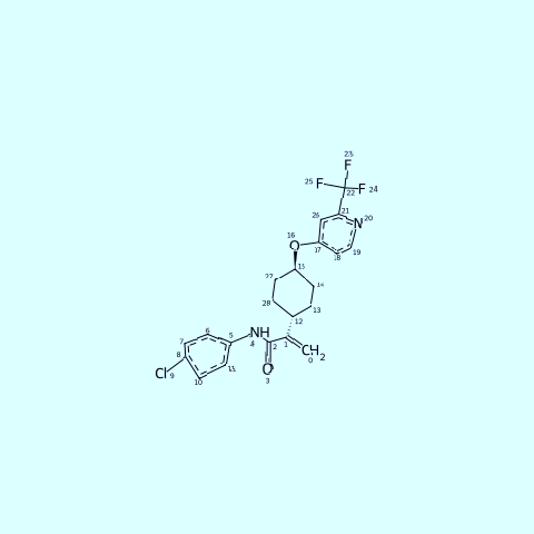 C=C(C(=O)Nc1ccc(Cl)cc1)[C@H]1CC[C@H](Oc2ccnc(C(F)(F)F)c2)CC1